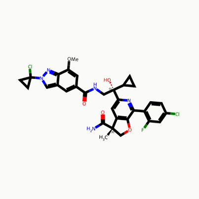 COc1cc(C(=O)NC[C@](O)(c2cc3c(c(-c4ccc(Cl)cc4F)n2)OC[C@]3(C)C(N)=O)C2CC2)cc2cn(C3(Cl)CC3)nc12